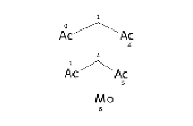 CC(=O)CC(C)=O.CC(=O)CC(C)=O.[Mo]